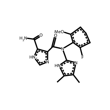 COc1cccc(F)c1N(C(=O)c1nc[nH]c1C(N)=O)c1nc(C)c(C)[nH]1